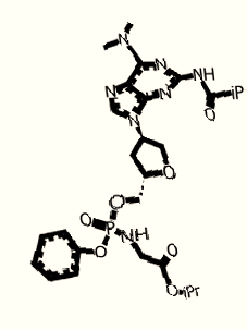 CC(C)OC(=O)CNP(=O)(OC[C@@H]1C[C@@H](n2cnc3c(N(C)C)nc(NC(=O)C(C)C)nc32)CO1)Oc1ccccc1